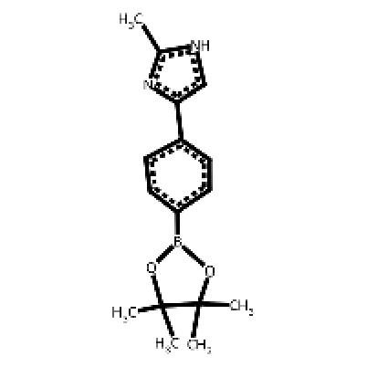 Cc1nc(-c2ccc(B3OC(C)(C)C(C)(C)O3)cc2)c[nH]1